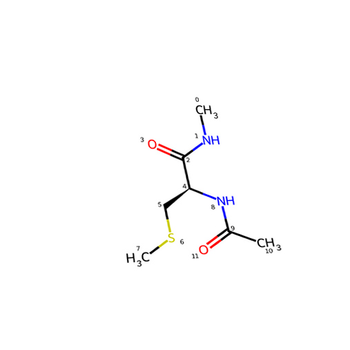 CNC(=O)[C@H](CSC)NC(C)=O